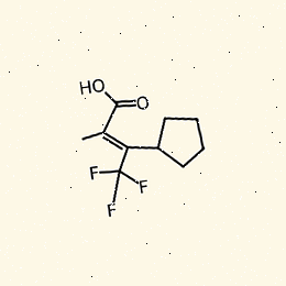 CC(C(=O)O)=C(C1CCCC1)C(F)(F)F